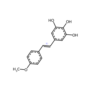 COc1ccc(/C=C/c2cc(O)c(O)c(O)c2)cc1